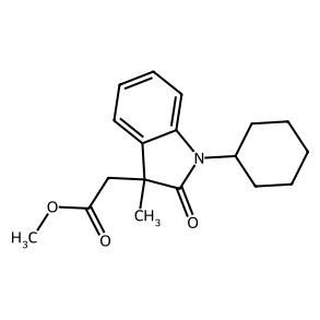 COC(=O)CC1(C)C(=O)N(C2CCCCC2)c2ccccc21